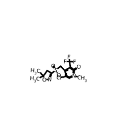 Cn1cc(Cl)c(CS(=O)(=O)C2=NOC(C)(C)C2)c(C(F)(F)F)c1=O